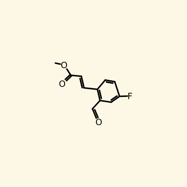 COC(=O)C=Cc1ccc(F)cc1C=O